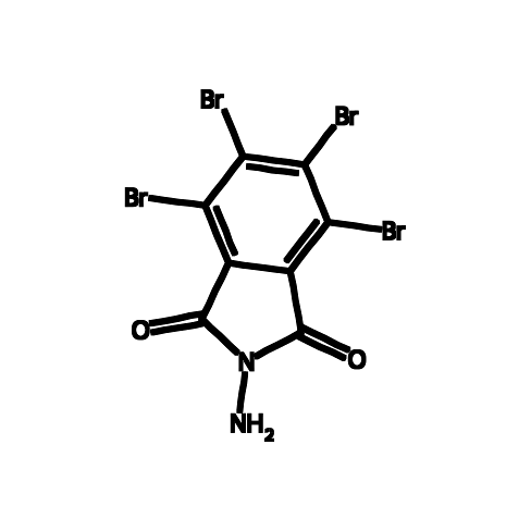 NN1C(=O)c2c(Br)c(Br)c(Br)c(Br)c2C1=O